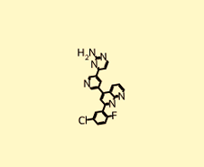 Nc1nccc(-c2cncc(-c3cc(-c4cc(Cl)ccc4F)nc4ncccc34)c2)n1